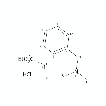 C=CC(=O)OCC.CN(C)Cc1ccccc1.Cl